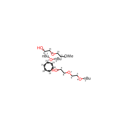 CCCCOCCCC.CCCCOCCOCCO.COCCOCCO.c1ccccc1